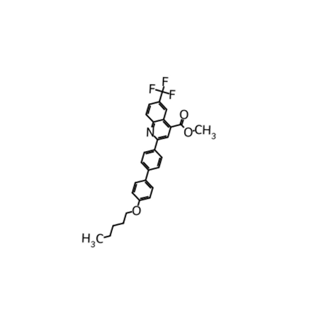 CCCCCOc1ccc(-c2ccc(-c3cc(C(=O)OC)c4cc(C(F)(F)F)ccc4n3)cc2)cc1